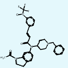 CC(=O)N1CCc2ccc(N(C(=O)C=Cc3cccc([S+]([O-])C(F)(F)F)c3)C3CCN(Cc4ccccc4)CC3)cc21